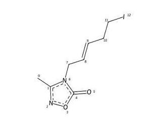 Cc1noc(=O)n1CC=CCCI